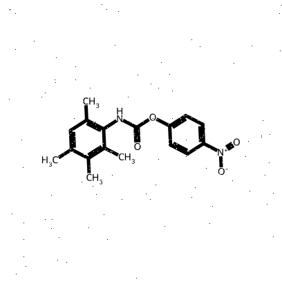 Cc1cc(C)c(NC(=O)Oc2ccc([N+](=O)[O-])cc2)c(C)c1C